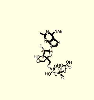 CNc1nc(C)nc2c1ncn2[C@@H]1O[C@](CCl)(COP(=O)(O)OP(=O)(O)OP(=O)(O)O)[C@@H](O)[C@H]1F